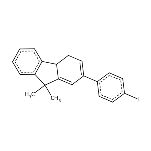 CC1(C)C2=CC(c3ccc(I)cc3)=CCC2c2ccccc21